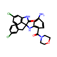 Nc1ccc(C(=O)N2CCOCC2)c(NC2(Cc3cccc(Cl)c3)C(=O)Nc3cc(Cl)ccc32)c1